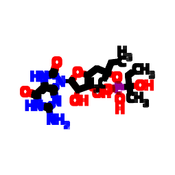 CCC(C)(CC1O[C@@H](n2c(=O)[nH]c3c(=O)[nH]c(N)nc32)[C@H](O)[C@@H]1O)OP(=O)(O)C(C)(O)CC